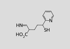 N=CC(CCC(S)c1ccccn1)C(=O)O